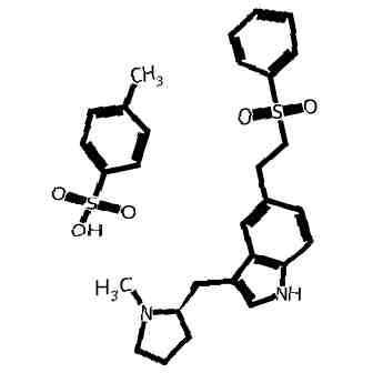 CN1CCC[C@@H]1Cc1c[nH]c2ccc(CCS(=O)(=O)c3ccccc3)cc12.Cc1ccc(S(=O)(=O)O)cc1